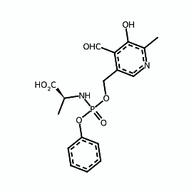 Cc1ncc(COP(=O)(N[C@@H](C)C(=O)O)Oc2ccccc2)c(C=O)c1O